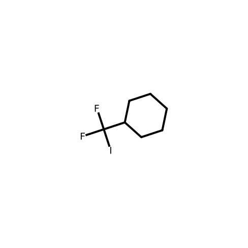 FC(F)(I)C1CCCCC1